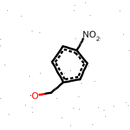 [O]Cc1ccc([N+](=O)[O-])cc1